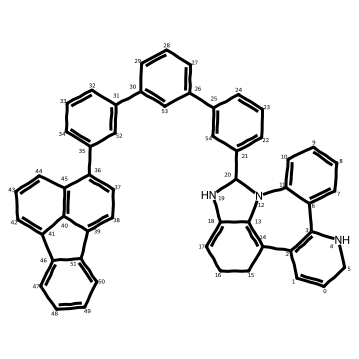 C1=CC2=C(NC1)c1ccccc1N1C3=C2CCC=C3NC1c1cccc(-c2cccc(-c3cccc(-c4ccc5c6c(cccc46)-c4ccccc4-5)c3)c2)c1